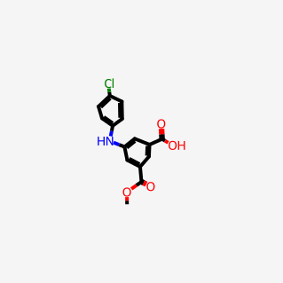 COC(=O)c1cc(Nc2ccc(Cl)cc2)cc(C(=O)O)c1